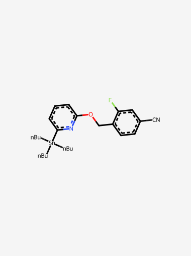 CCC[CH2][Sn]([CH2]CCC)([CH2]CCC)[c]1cccc(OCc2ccc(C#N)cc2F)n1